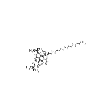 CCCCCCCCCCCCCCCCCCN(C)C(=O)c1ccccc1-c1c2ccc(=[N+](C)C)cc-2oc2cc(N(C)C)ccc12